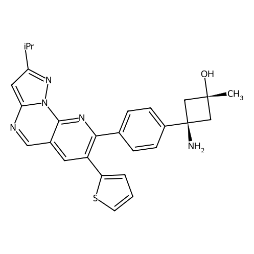 CC(C)c1cc2ncc3cc(-c4cccs4)c(-c4ccc([C@]5(N)C[C@](C)(O)C5)cc4)nc3n2n1